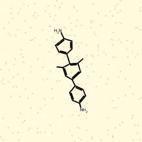 Cc1cc(-c2ccc(N)cc2)cc(C)c1-c1ccc(N)cc1